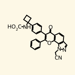 N#CCn1ncc2ccc3c(=O)c(-c4ccc(C5(NC(=O)O)CCC5)cc4)c(-c4ccccc4)oc3c21